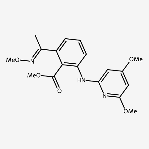 CON=C(C)c1cccc(Nc2cc(OC)cc(OC)n2)c1C(=O)OC